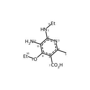 CCNc1nc(C)c(C(=O)O)c(OCC)c1N